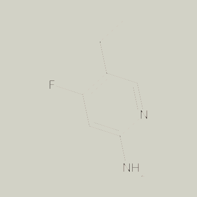 CCc1cnc(N)cc1F